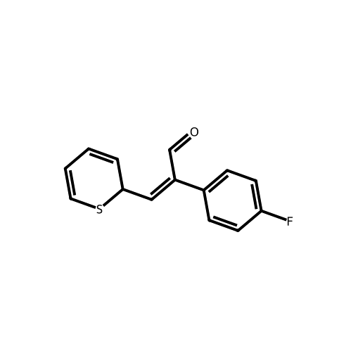 O=C/C(=C\C1C=CC=CS1)c1ccc(F)cc1